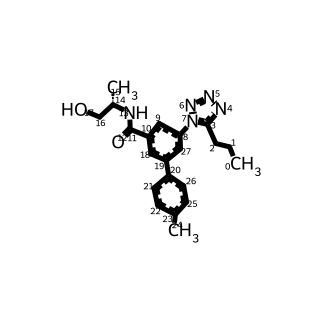 CCCc1nnnn1-c1cc(C(=O)N[C@@H](C)CO)cc(-c2ccc(C)cc2)c1